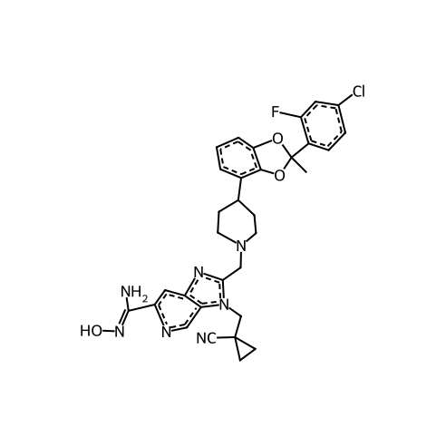 CC1(c2ccc(Cl)cc2F)Oc2cccc(C3CCN(Cc4nc5cc(C(N)=NO)ncc5n4CC4(C#N)CC4)CC3)c2O1